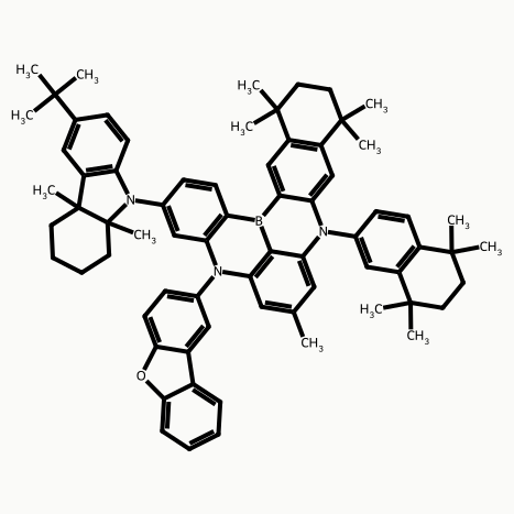 Cc1cc2c3c(c1)N(c1ccc4c(c1)C(C)(C)CCC4(C)C)c1cc4c(cc1B3c1ccc(N3c5ccc(C(C)(C)C)cc5C5(C)CCCCC35C)cc1N2c1ccc2oc3ccccc3c2c1)C(C)(C)CCC4(C)C